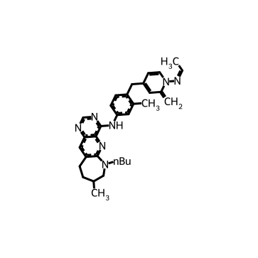 C=C1C=C(Cc2ccc(Nc3ncnc4cc5c(nc34)N(CCCC)CC(C)CC5)cc2C)C=CN1/N=C\C